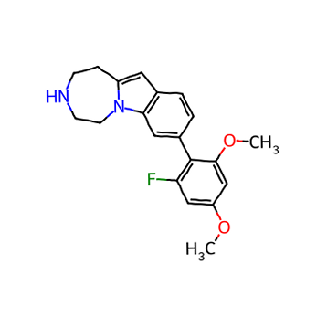 COc1cc(F)c(-c2ccc3cc4n(c3c2)CCNCC4)c(OC)c1